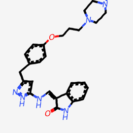 CN1CCN(CCCOc2ccc(Cc3cc(NC=C4C(=O)Nc5ccccc54)[nH]n3)cc2)CC1